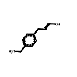 NCc1ccc(CC=CO)cc1